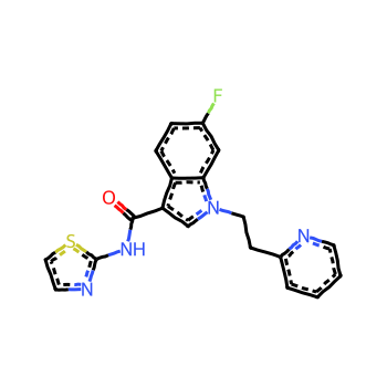 O=C(Nc1nccs1)c1cn(CCc2ccccn2)c2cc(F)ccc12